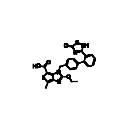 CCOc1nc2c(C)sc(C(=O)O)c2n1Cc1ccc(-c2ccccc2-c2nc(=O)s[nH]2)cc1